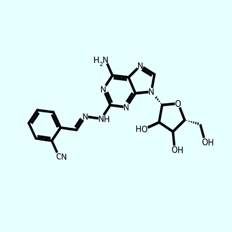 N#Cc1ccccc1/C=N/Nc1nc(N)c2ncn([C@@H]3O[C@H](CO)C(O)C3O)c2n1